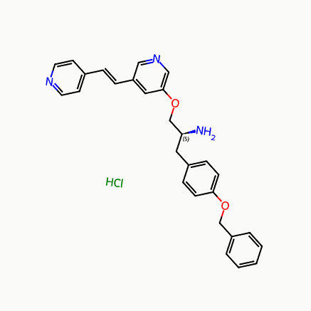 Cl.N[C@H](COc1cncc(C=Cc2ccncc2)c1)Cc1ccc(OCc2ccccc2)cc1